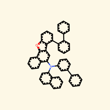 c1ccc(-c2cccc(N(c3cccc4ccccc34)c3cc4c(oc5cccc(-c6ccccc6-c6ccccc6)c54)c4ccccc34)c2)cc1